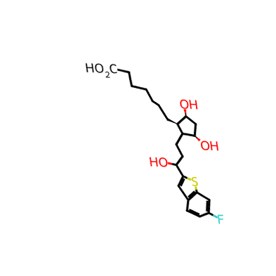 O=C(O)CCCCCC[C@@H]1C(CCC(O)c2cc3ccc(F)cc3s2)[C@H](O)C[C@@H]1O